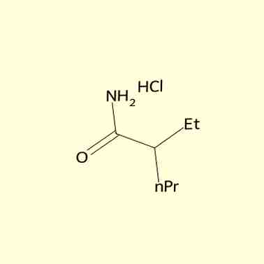 CCCC(CC)C(N)=O.Cl